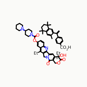 C=C(c1ccc(C(=O)O)cc1)c1cc2c(cc1C)C(C)(C)CCC2(C)C.CCc1c2c(nc3ccc(OC(=O)N4CCC(N5CCCCC5)CC4)cc13)-c1cc3c(c(=O)n1C2)COC(=O)[C@]3(O)CC